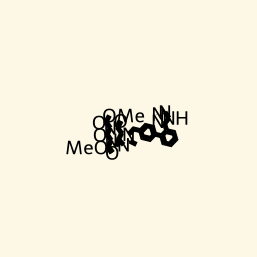 COC(=O)N1C(=O)C2N(Cc3ccc(-c4ccccc4-c4nnn[nH]4)cc3)C(C)=NC2(C)N(C(=O)OC)C1=O